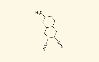 CC1CCC2CC(C#N)C(C#N)CC2C1